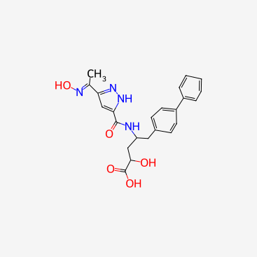 CC(=NO)c1cc(C(=O)NC(Cc2ccc(-c3ccccc3)cc2)CC(O)C(=O)O)[nH]n1